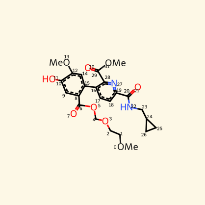 COCCOCOC(=O)c1cc(O)c(OC)cc1-c1ccc(C(=O)NCC2CC2)nc1C(=O)OC